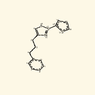 C1=C(CCCc2ccccc2)N=S(c2cccs2)S1